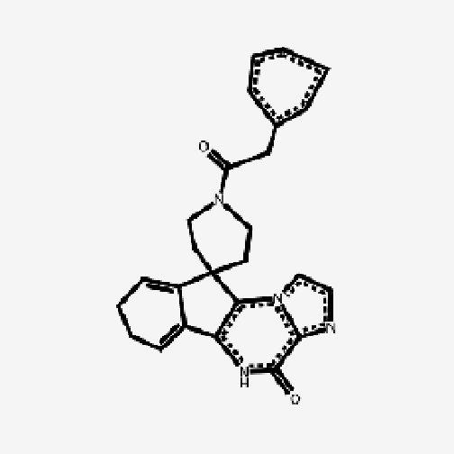 O=C(Cc1ccccc1)N1CCC2(CC1)C1=CCCC=C1c1[nH]c(=O)c3nccn3c12